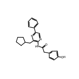 O=C(Cc1ccc(O)cc1)Nc1ncc(-c2ccccc2)nc1CC1CCCC1